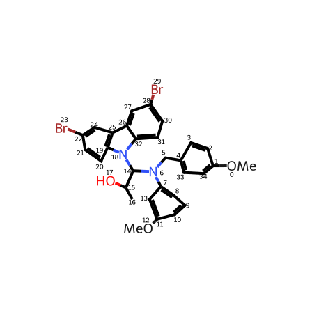 COc1ccc(CN(c2cccc(OC)c2)C(C(C)O)n2c3ccc(Br)cc3c3cc(Br)ccc32)cc1